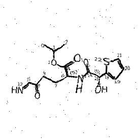 CC(C)OC(=O)[C@H](CCC(=O)C=N)NC(=O)[C@H](O)c1cccs1